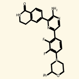 CC(C)C1CN(c2ccc(-c3cnc(N)c(-c4ccc5c(c4)CCNC5=O)n3)c(F)c2F)CCO1